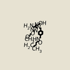 C=C(C)CCC(=O)NCc1ccc(Cn2c(O)nc3c(N)nc(OCCOC)nc32)cc1